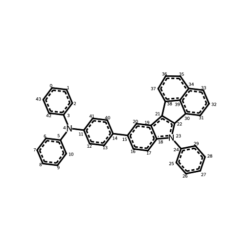 c1ccc(N(c2ccccc2)c2ccc(-c3ccc4c(c3)c3c(n4-c4ccccc4)-c4cccc5cccc-3c45)cc2)cc1